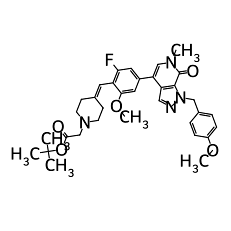 COc1ccc(Cn2ncc3c(-c4cc(F)c(C=C5CCN(CC(=O)OC(C)(C)C)CC5)c(OC)c4)cn(C)c(=O)c32)cc1